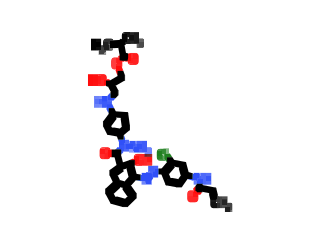 C=CC(=O)Nc1ccc(/N=N/c2c(O)c(C(=O)N(N)c3ccc(NCC(O)COC(=O)C(=C)C)cc3)cc3ccccc23)c(Cl)c1